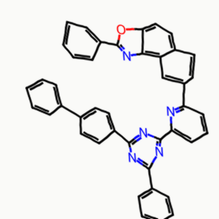 c1ccc(-c2ccc(-c3nc(-c4ccccc4)nc(-c4cccc(-c5ccc6ccc7oc(-c8ccccc8)nc7c6c5)n4)n3)cc2)cc1